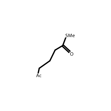 CSC(=O)CCCC(C)=O